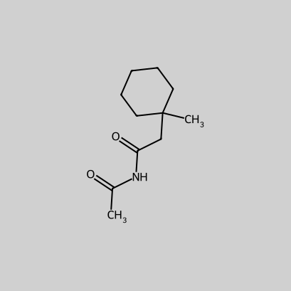 CC(=O)NC(=O)CC1(C)CCCCC1